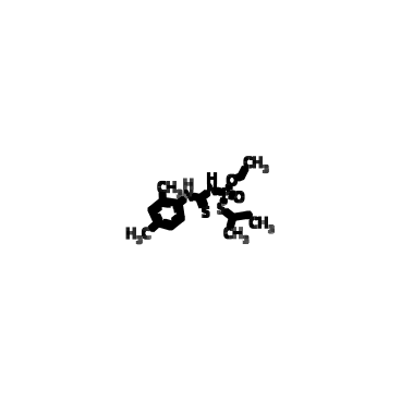 CCOP(=O)(NC(=S)Nc1ccc(C)cc1C)SC(C)CC